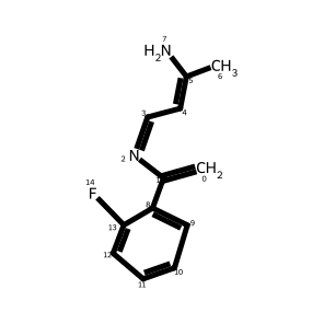 C=C(/N=C\C=C(\C)N)c1ccccc1F